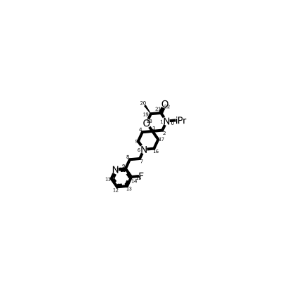 CC(C)N1CC2(CCN(CCc3ncccc3F)CC2)O[C@@H](C)C1=O